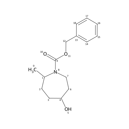 CC1CCC(O)CCN1C(=O)OCc1ccccc1